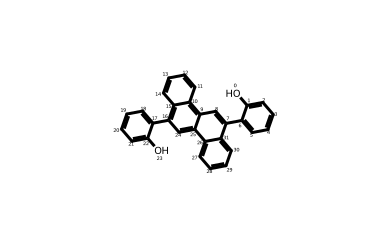 Oc1ccccc1-c1cc2c3ccccc3c(-c3ccccc3O)cc2c2ccccc12